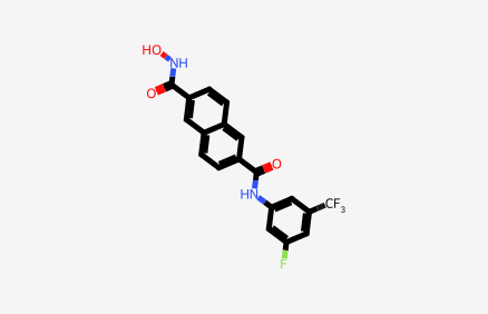 O=C(NO)c1ccc2cc(C(=O)Nc3cc(F)cc(C(F)(F)F)c3)ccc2c1